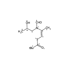 CC(=CSC(=O)C(C)(C)C)N(C=O)CC(C)O